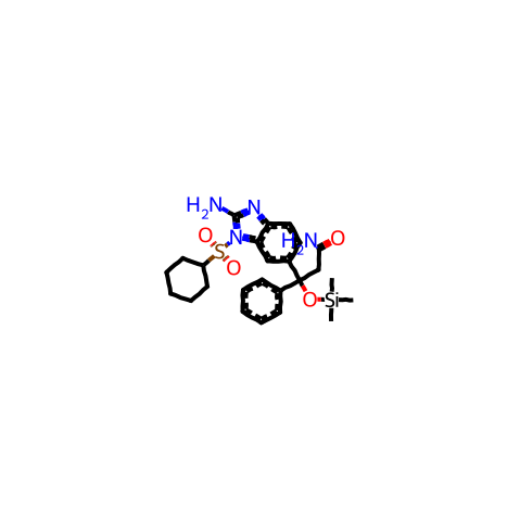 C[Si](C)(C)OC(CC(N)=O)(c1ccccc1)c1ccc2nc(N)n(S(=O)(=O)C3CCCCC3)c2c1